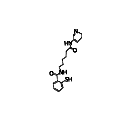 O=C(CCCCCNC(=O)c1ccccc1S)NC1=CCCN=C1